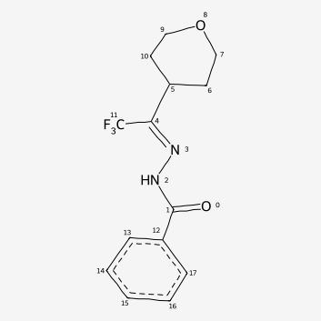 O=C(NN=C(C1CCOCC1)C(F)(F)F)c1ccccc1